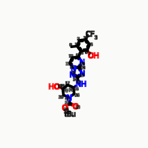 Cc1cc(C(F)(F)F)cc(O)c1-c1ccn2nc(N[C@@H]3C[C@H](O)CN(C(=O)OC(C)(C)C)C3)nc2n1